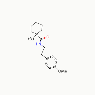 COc1ccc(CCNC(=O)C2(C(C)(C)C)CCCCC2)cc1